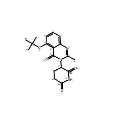 Cc1nc2cccc(OC(C)(C)C)c2c(=O)n1C1CCC(=O)NC1=O